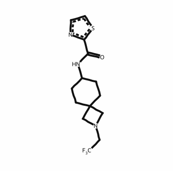 O=C(NC1CCC2(CC1)CN(CC(F)(F)F)C2)c1nccs1